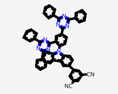 N#Cc1cc(C#N)cc(-c2ccc3c(c2)c2ccccc2n3-c2ccc(-c3nc(-c4ccccc4)nc(-c4ccccc4)n3)cc2-c2nc(-c3ccccc3)nc(-c3ccccc3)n2)c1